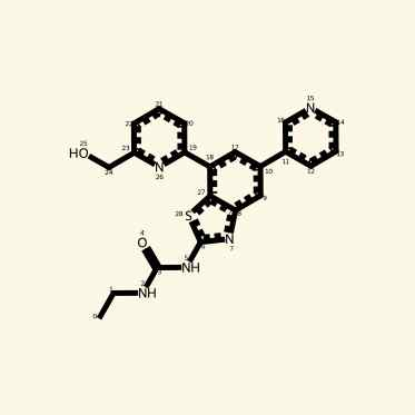 CCNC(=O)Nc1nc2cc(-c3cccnc3)cc(-c3cccc(CO)n3)c2s1